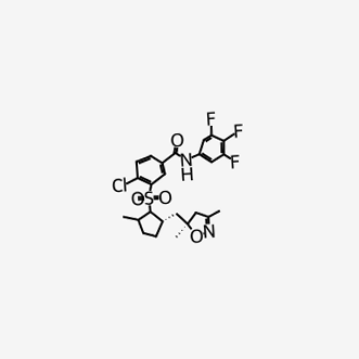 CC1=NO[C@@](C)(C[C@@H]2CCC(C)C2S(=O)(=O)c2cc(C(=O)Nc3cc(F)c(F)c(F)c3)ccc2Cl)C1